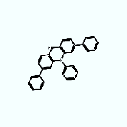 c1ccc(-c2ccc3c(c2)N(c2ccccc2)c2cc(-c4ccccc4)ccc2N3)cc1